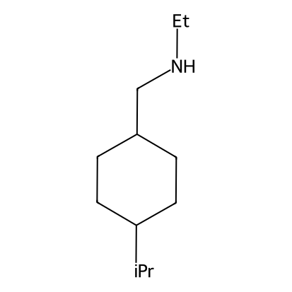 CCNCC1CCC(C(C)C)CC1